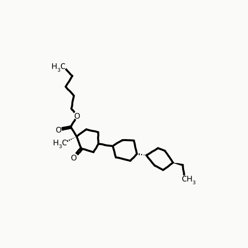 CCCCCOC(=O)[C@@]1(C)CCC(C2CCC([C@H]3CC[C@H](CC)CC3)CC2)CC1=O